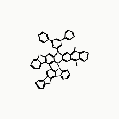 Cc1c2ccccc2c(C)c2cc3c(cc12)B1c2c(cc4oc5ccccc5c4c2-c2cc4c5ccccc5oc4c4c5ccccc5n1c24)N3c1cc(-c2ccccc2)cc(-c2ccccc2)c1